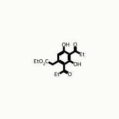 CCOC(=O)Cc1cc(O)c(C(=O)CC)c(O)c1C(=O)CC